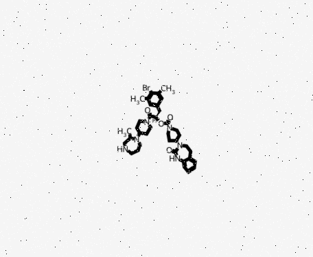 Cc1cc(C[C@@H](OC(=O)N2CCC(N3CCc4ccccc4NC3=O)CC2)C(=O)N2CCC(N3CCCNCC3C)CC2)cc(C)c1Br